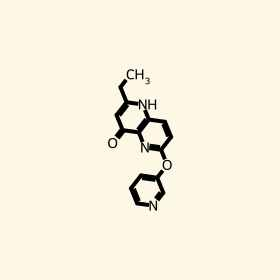 CCc1cc(=O)c2nc(Oc3cccnc3)ccc2[nH]1